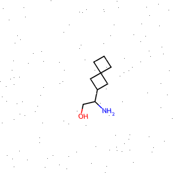 NC(CO)C1CC2(CCC2)C1